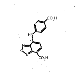 O=C(O)c1ccc(Nc2ccc(C(=O)O)c3nonc23)cc1